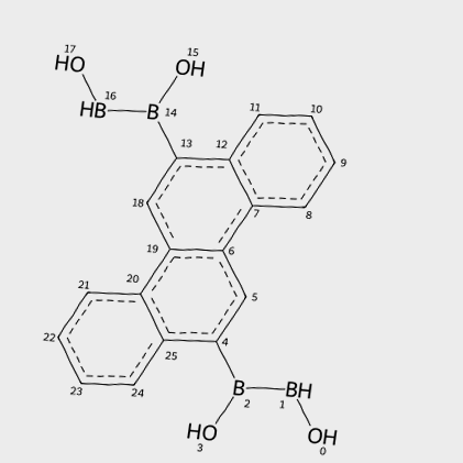 OBB(O)c1cc2c3ccccc3c(B(O)BO)cc2c2ccccc12